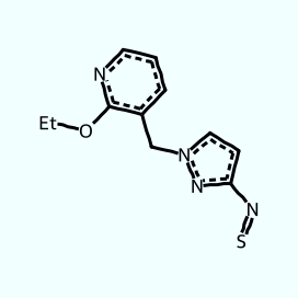 CCOc1ncccc1Cn1ccc(N=S)n1